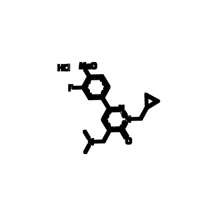 COc1ccc(-c2cc(CN(C)C)c(=O)n(CC3CC3)n2)cc1F.Cl